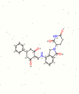 O=C1CCC(N2Cc3c(NC=C4C(=O)CC(c5ccccc5)CC4=O)cccc3C2=O)C(=O)N1